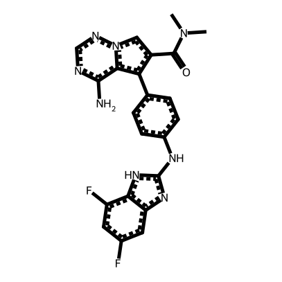 CN(C)C(=O)c1cn2ncnc(N)c2c1-c1ccc(Nc2nc3cc(F)cc(F)c3[nH]2)cc1